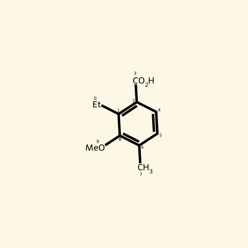 CCc1c(C(=O)O)ccc(C)c1OC